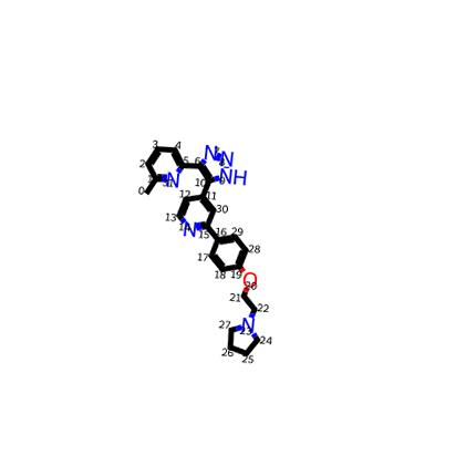 Cc1cccc(-c2nn[nH]c2-c2ccnc(-c3ccc(OCCN4CCCC4)cc3)c2)n1